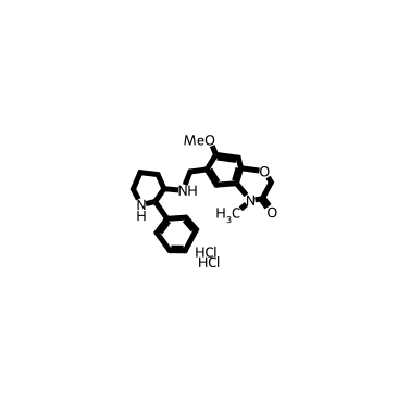 COc1cc2c(cc1CNC1CCCNC1c1ccccc1)N(C)C(=O)CO2.Cl.Cl